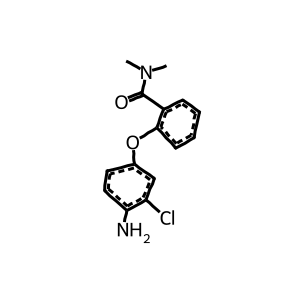 CN(C)C(=O)c1ccccc1Oc1ccc(N)c(Cl)c1